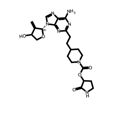 C=C1C(O)CO[C@H]1n1cnc2c(N)nc(CCC3CCN(C(=O)OC4CCNC4=O)CC3)nc21